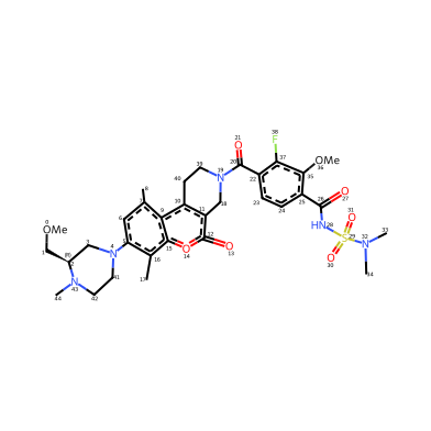 COC[C@H]1CN(c2cc(C)c3c4c(c(=O)oc3c2C)CN(C(=O)c2ccc(C(=O)NS(=O)(=O)N(C)C)c(OC)c2F)CC4)CCN1C